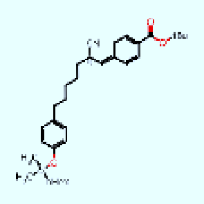 CCCCCC[Si](C)(C)Oc1ccc(CCCCC[C@@H](C#N)C=C2C=CC(C(=O)OC(C)(C)C)=CC2)cc1